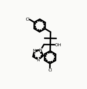 CC(C)(Cc1ccc(Cl)cc1)C(O)(Cn1cncn1)c1ccc(Cl)cc1